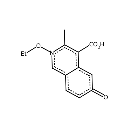 CCOn1cc2ccc(=O)cc-2c(C(=O)O)c1C